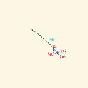 CCCCCCCCCCCCCCCCCC(=O)N(CCO)CC(C)N(CCO)CCO.F.F